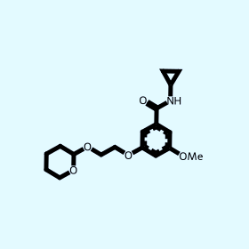 COc1cc(OCCOC2CCCCO2)cc(C(=O)NC2CC2)c1